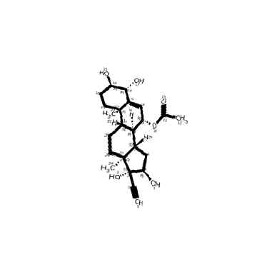 C#C[C@]1(O)[C@H](O)C[C@H]2[C@@H]3[C@@H](OC(C)=O)C=C4[C@@H](O)[C@H](O)CC[C@]4(C)[C@H]3CC[C@@]21C